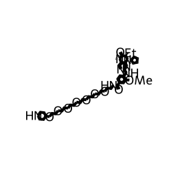 CC[C@@H]1C(=O)N(C)c2cnc(Nc3ccc(C(=O)NCCOCCOCCOCCOCCOCCOCCOC4CCNCC4)cc3OC)nc2N1C1CCCC1